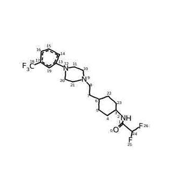 O=C(NC1CCC(CCN2CCN(c3cccc(C(F)(F)F)c3)CC2)CC1)C(F)F